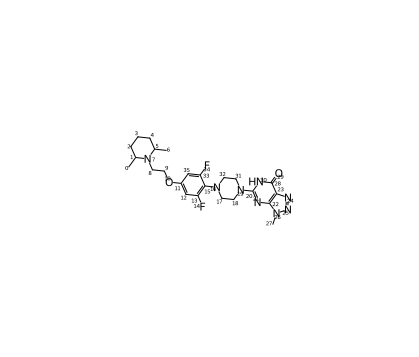 CC1CCCC(C)N1CCOc1cc(F)c(N2CCN(c3nc4c(nnn4C)c(=O)[nH]3)CC2)c(F)c1